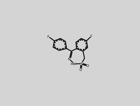 O=S1(=O)Cc2cc(F)ccc2C(c2ccc(F)cc2)=NN1